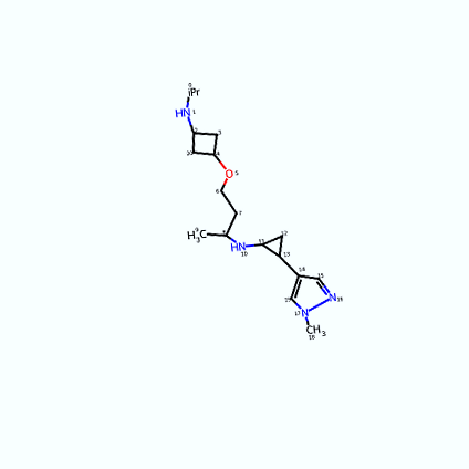 CC(C)NC1CC(OCCC(C)NC2CC2c2cnn(C)c2)C1